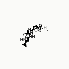 NS(=O)(=O)C1=CCC(c2ncc(Cl)c(Nc3cc(C4CC4)[nH]n3)n2)O1